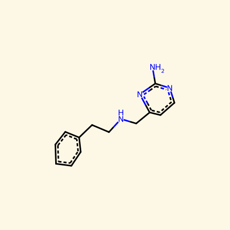 Nc1nccc(CNCCc2ccccc2)n1